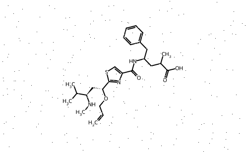 C=CCO[C@H](C[C@@H](NC)C(C)C)c1nc(C(=O)NC(Cc2ccccc2)CC(C)C(=O)O)cs1